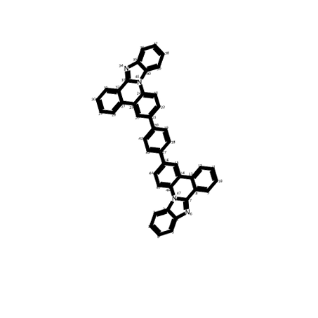 c1ccc2c(c1)nc1c3ccccc3c3cc(-c4ccc(-c5ccc6c(c5)c5ccccc5c5nc7ccccc7n65)cc4)ccc3n21